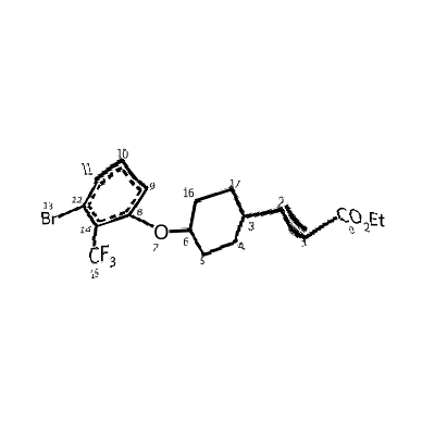 CCOC(=O)/C=C/C1CCC(Oc2cccc(Br)c2C(F)(F)F)CC1